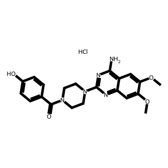 COc1cc2nc(N3CCN(C(=O)c4ccc(O)cc4)CC3)nc(N)c2cc1OC.Cl